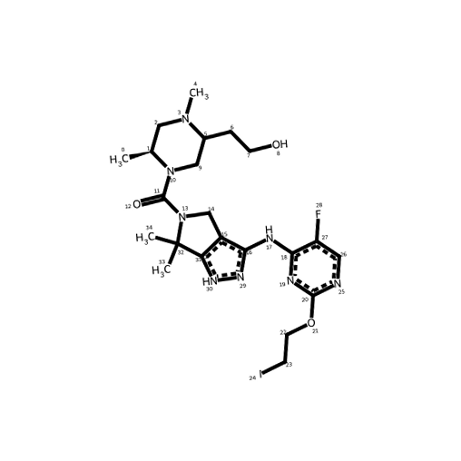 C[C@H]1CN(C)C(CCO)CN1C(=O)N1Cc2c(Nc3nc(OCCI)ncc3F)n[nH]c2C1(C)C